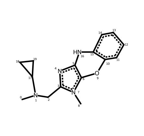 CN(Cc1nc2c(n1C)Oc1ccccc1N2)C1CC1